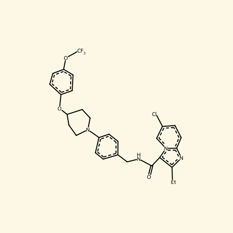 CCc1nc2ccc(Cl)cn2c1C(=O)NCc1ccc(N2CCC(Oc3ccc(OC(F)(F)F)cc3)CC2)cc1